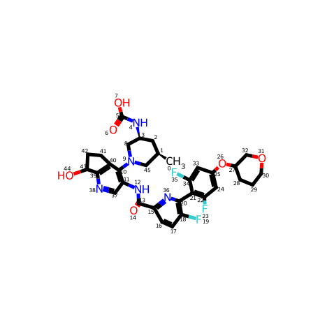 C[C@@H]1C[C@H](NC(=O)O)CN(c2c(NC(=O)c3ccc(F)c(-c4c(F)cc(OC5CCCOC5)cc4F)n3)cnc3c2CCC3O)C1